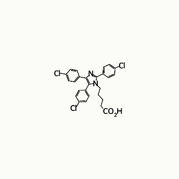 O=C(O)CCCCn1c(-c2ccc(Cl)cc2)nc(-c2ccc(Cl)cc2)c1-c1ccc(Cl)cc1